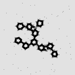 c1ccc(-c2cccc(-c3cc(-c4ccc5sc6c(-c7ccccc7)cccc6c5c4)cc(-c4ccc5c(c4)c4cc(-c6ccccc6)ccc4n5-c4ccccc4)c3)c2)cc1